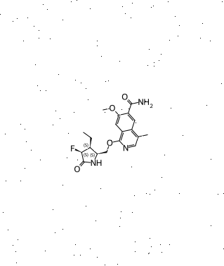 CC[C@@H]1[C@H](F)C(=O)N[C@@H]1COc1ncc(C)c2cc(C(N)=O)c(OC)cc12